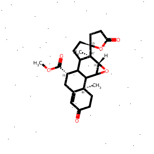 COC(=O)[C@H]1CC2=CC(=O)CC[C@]2(C)C2C1C1CC[C@]3(CCC(=O)O3)[C@@]1(C)[C@@H]1OC21